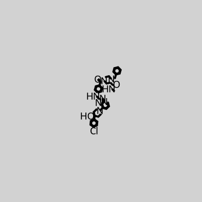 CNC(=O)C1CN(C(=O)c2ccc(Nc3nc4c(N5CCC(O)(c6ccc(Cl)cc6)CC5)cccn4n3)cc2)CCN1Cc1ccccc1